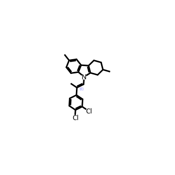 C/C(=C\n1c2c(c3cc(C)ccc31)CCC(C)C2)c1ccc(Cl)c(Cl)c1